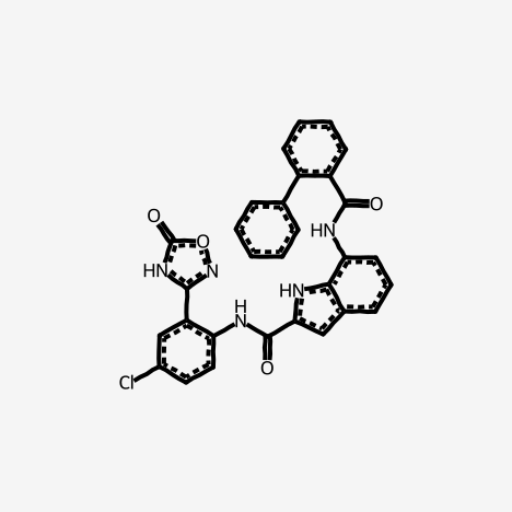 O=C(Nc1ccc(Cl)cc1-c1noc(=O)[nH]1)c1cc2cccc(NC(=O)c3ccccc3-c3ccccc3)c2[nH]1